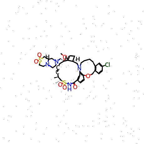 CO[C@]1(CN2CCN3CCS(=O)(=O)C[C@H]3C2)CCC[C@H](C)[C@@H](C)S(=O)(=O)NC(=O)c2ccc3c(c2)N(CCCCc2cc(Cl)ccc2CO3)C[C@@H]2CC[C@H]21